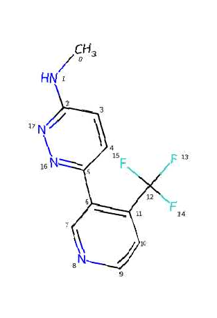 CNc1ccc(-c2cnccc2C(F)(F)F)nn1